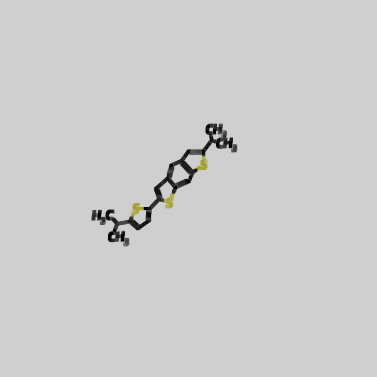 CC(C)c1ccc(-c2cc3cc4cc(C(C)C)sc4cc3s2)s1